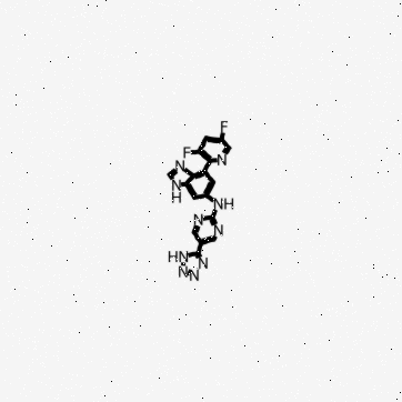 Fc1cnc(-c2cc(Nc3ncc(-c4nnn[nH]4)cn3)cc3[nH]cnc23)c(F)c1